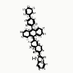 C1=CC2NC(c3ccc4cc(-c5c6ccccc6c(-c6ccc(-c7ccccc7)cc6)c6ccccc56)ccc4c3)=CN2C=C1